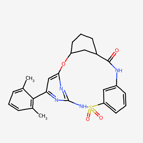 Cc1cccc(C)c1-c1cc2nc(n1)NS(=O)(=O)c1cccc(c1)NC(=O)C1CCCC(C1)O2